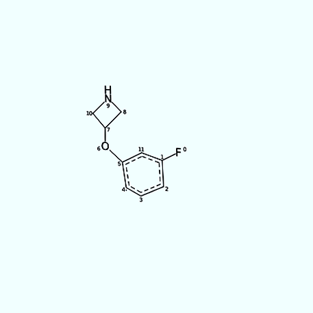 Fc1cc[c]c(OC2CNC2)c1